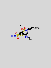 COCCCN1C[C@@H](NCC(C)C)c2sc(S(N)(=O)=O)cc2S1(=O)=O